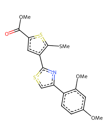 COC(=O)c1cc(-c2nc(-c3ccc(OC)cc3OC)cs2)c(SC)s1